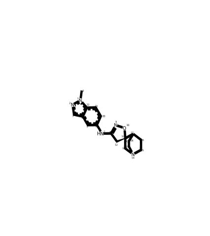 Cn1ncc2cc(NC3=NO[C@@]4(C3)CN3CCC4CC3)ccc21